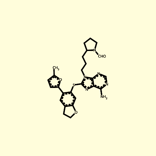 Cc1ccc(-c2cc3c(cc2Sc2nc4c(N)ncnc4n2CCCC2CCCN2C=O)OCC3)o1